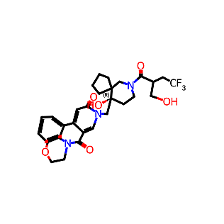 O=C(c1cn(C[C@@]2(O)CCN(C(=O)C(CO)CC(F)(F)F)CC23CCCC3)c(=O)cc1-c1ccccc1)N1CCOCC1